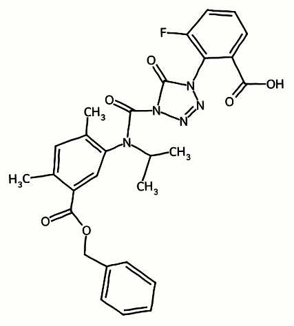 Cc1cc(C)c(N(C(=O)n2nnn(-c3c(F)cccc3C(=O)O)c2=O)C(C)C)cc1C(=O)OCc1ccccc1